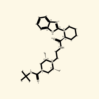 C[C@@H]1CN(C(=O)OC(C)(C)C)C[C@H](C)N1CCNC(=O)[C@@H]1CCCCN1c1nc2ccccc2o1